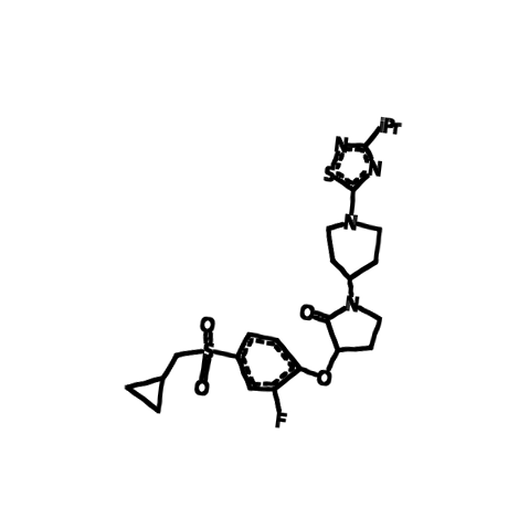 CC(C)c1nsc(N2CCC(N3CCC(Oc4ccc(S(=O)(=O)CC5CC5)cc4F)C3=O)CC2)n1